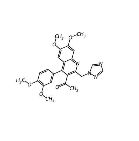 COc1ccc(-c2c(C(C)=O)c(Cn3cncn3)nc3cc(OC)c(OC)cc23)cc1OC